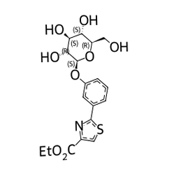 CCOC(=O)c1csc(-c2cccc(O[C@@H]3O[C@H](CO)[C@@H](O)[C@H](O)[C@H]3O)c2)n1